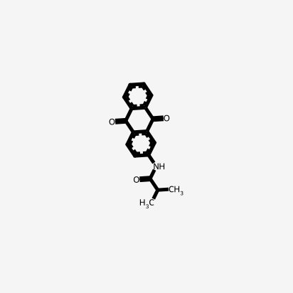 CC(C)C(=O)Nc1ccc2c(c1)C(=O)c1ccccc1C2=O